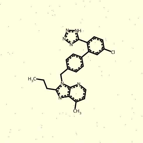 CCCc1nc2c(C)ccnc2n1Cc1ccc(-c2cc(Cl)ccc2-c2nnn[nH]2)cc1